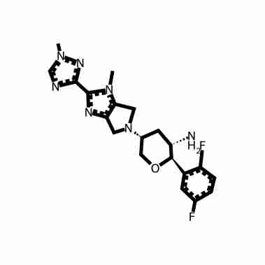 Cn1cnc(-c2nc3c(n2C)CN([C@H]2CO[C@H](c4cc(F)ccc4F)[C@@H](N)C2)C3)n1